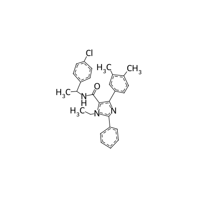 CCn1c(-c2ccccc2)nc(-c2ccc(C)c(C)c2)c1C(=O)NC(C)c1ccc(Cl)cc1